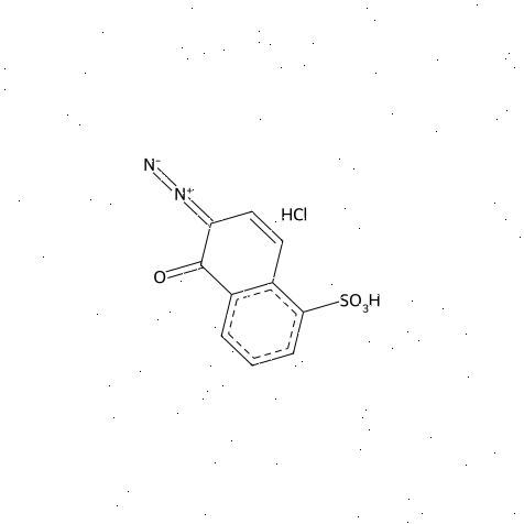 Cl.[N-]=[N+]=C1C=Cc2c(cccc2S(=O)(=O)O)C1=O